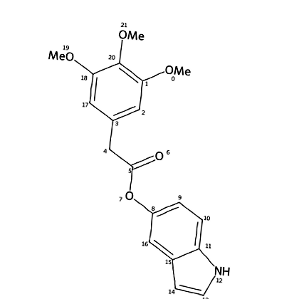 COc1cc(CC(=O)Oc2ccc3[nH]ccc3c2)cc(OC)c1OC